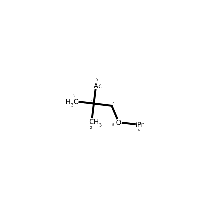 CC(=O)C(C)(C)COC(C)C